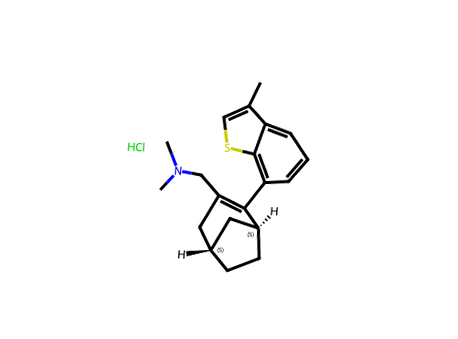 Cc1csc2c(C3=C(CN(C)C)C[C@H]4CC[C@H]3C4)cccc12.Cl